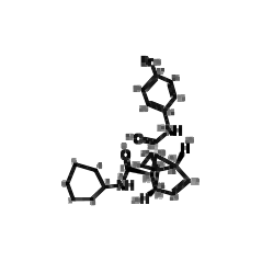 O=C(NC1CCCCC1)[C@H]1[C@H](C(=O)Nc2ccc(Br)cc2)[C@@H]2C=C[C@H]1C21CC1